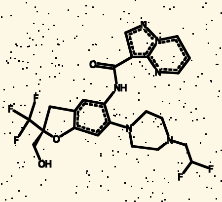 O=C(Nc1cc2c(cc1N1CCN(CC(F)F)CC1)O[C@](CO)(C(F)(F)F)C2)c1cnn2cccnc12